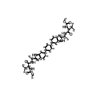 COC(=O)N[C@H](C(=O)N[C@@H](C)c1nc2ccc(-c3ccc(-c4ccc5nc([C@H](C)NC(=O)[C@@H](NC(=O)OC)C(C)C)[nH]c5c4)cc3)cc2[nH]1)C(C)C